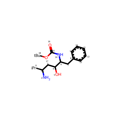 CC(C)C(N)CC(O)C(Cc1ccccc1)NC(=O)OC(C)(C)C